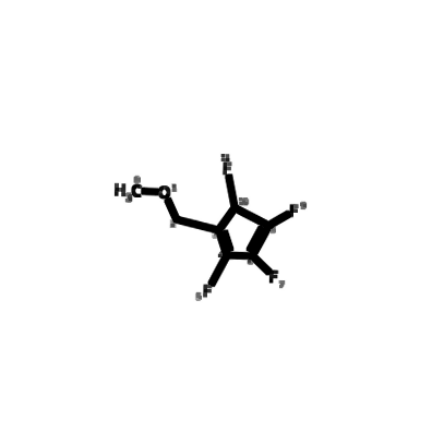 COCC1=C(F)C(F)=C(F)C1F